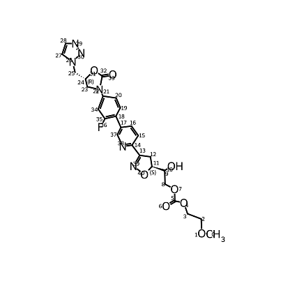 COCCOC(=O)OCC(O)[C@@H]1CC(c2ccc(-c3ccc(N4C[C@H](Cn5ccnn5)OC4=O)cc3F)cn2)=NO1